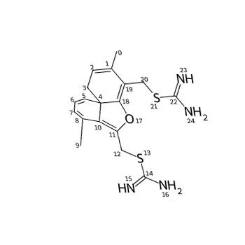 CC1=CCC23C=CC=C(C)C2=C(CSC(=N)N)OC3=C1CSC(=N)N